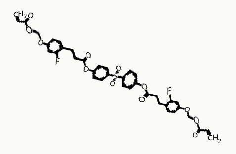 C=CC(=O)OCOc1ccc(CCC(=O)Oc2ccc(S(=O)(=O)c3ccc(OC(=O)CCc4ccc(OCOC(=O)C=C)cc4F)cc3)cc2)c(F)c1